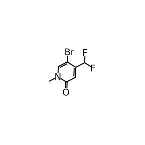 Cn1cc(Br)c(C(F)F)cc1=O